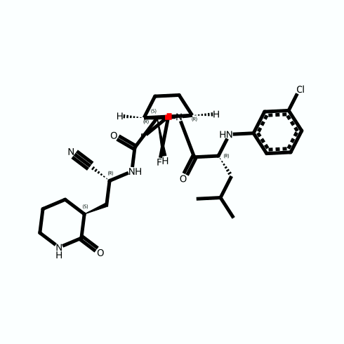 CC(C)C[C@@H](Nc1cccc(Cl)c1)C(=O)N1[C@@H]2CC[C@H]([C@H]1C(=O)N[C@@H](C#N)C[C@@H]1CCCNC1=O)C(F)(F)C2